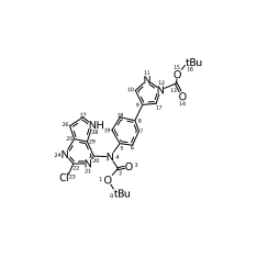 CC(C)(C)OC(=O)N(c1ccc(-c2cnn(C(=O)OC(C)(C)C)c2)cc1)c1nc(Cl)nc2cc[nH]c12